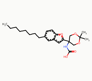 CCCCCCCCc1ccc2oc(C3(NC(=O)O)COC(C)(C)OC3)cc2c1